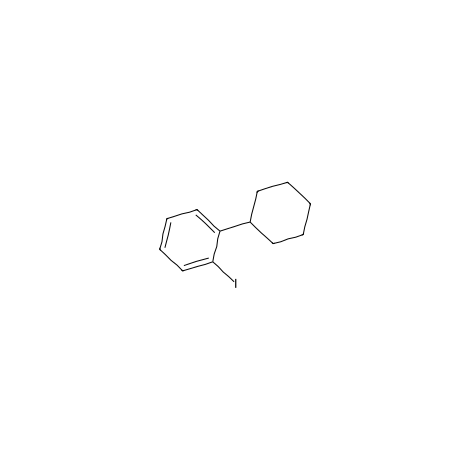 Ic1ccccc1C1CCCCC1